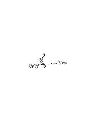 CCCCC/C=C\C/C=C\CCCCCCCC(=O)OCC(COC(=O)CCCN(C)C)COC(=O)CC1C2CC3CC(C2)CC1C3